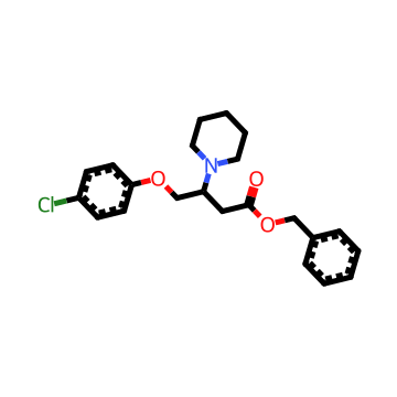 O=C(CC(COc1ccc(Cl)cc1)N1CCCCC1)OCc1ccccc1